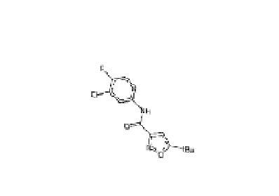 CC(C)(C)c1cc(C(=O)Nc2ccc(F)c(Cl)c2)no1